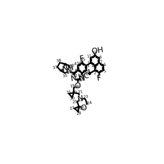 C#Cc1c(F)ccc2cc(O)cc(-c3cc4nc(OCC5(CN6CCOC7(CC7)C6)CC5)nc(N5CC6CCC(C5)N6)c4cc3F)c12